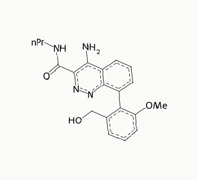 CCCNC(=O)c1nnc2c(-c3c(CO)cccc3OC)cccc2c1N